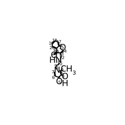 Cc1c(O)c(=O)ccn1CCNCc1coc2ccccc2c1=O